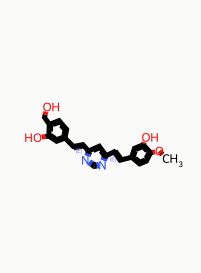 COc1ccc(/C=C/c2cc(/C=C/c3ccc(CO)c(O)c3)ncn2)cc1O